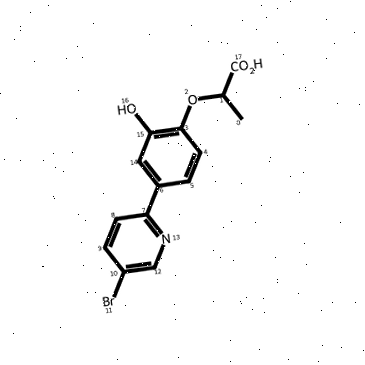 CC(Oc1ccc(-c2ccc(Br)cn2)cc1O)C(=O)O